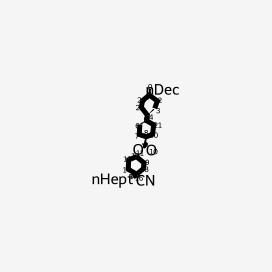 CCCCCCCCCC[C@H]1CC[C@H]([C@H]2CC[C@H](C(=O)OC3CCC(C#N)(CCCCCCC)CC3)CC2)CC1